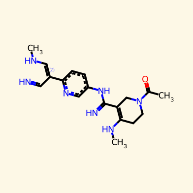 CN/C=C(\C=N)c1ccc(NC(=N)C2=C(NC)CCN(C(C)=O)C2)cn1